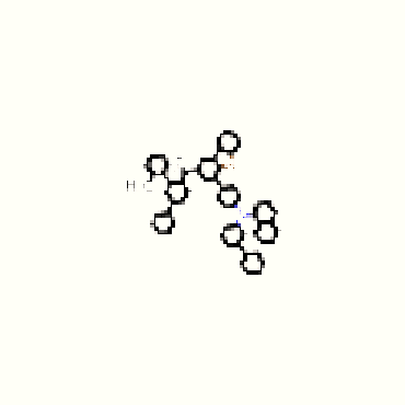 Cc1ccccc1-c1cc(-c2ccccc2)ccc1[C@H](C)c1cc(-c2ccc(N(c3cccc(-c4ccccc4)c3)c3cccc4ccccc34)cc2)c2sc3ccccc3c2c1